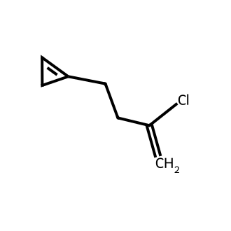 C=C(Cl)CCC1=CC1